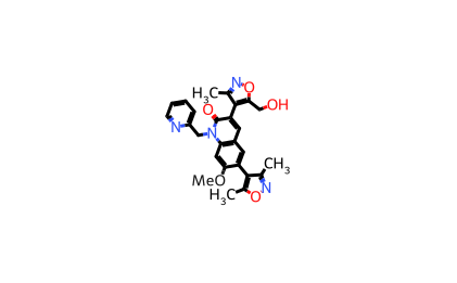 COc1cc2c(cc1-c1c(C)noc1C)cc(-c1c(C)noc1CO)c(=O)n2Cc1ccccn1